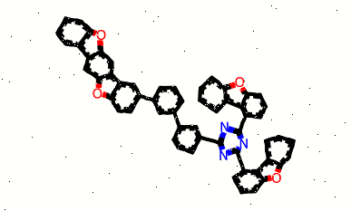 c1cc(-c2cccc(-c3nc(-c4cccc5oc6ccccc6c45)nc(-c4cccc5oc6ccccc6c45)n3)c2)cc(-c2ccc3oc4cc5c(cc4c3c2)oc2ccccc25)c1